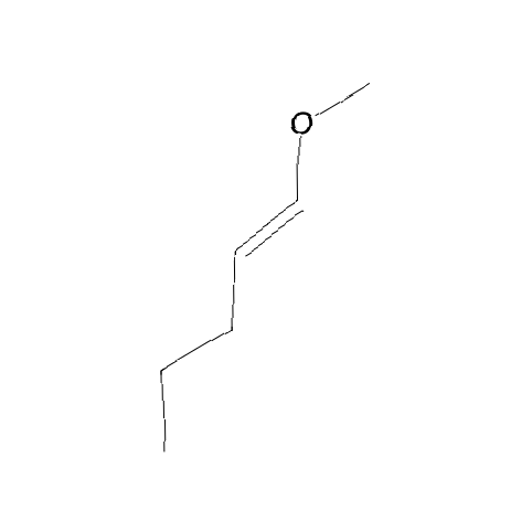 CCC/C=C/OC